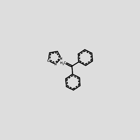 C=C(c1ccccc1)c1ccccc1.c1conn1